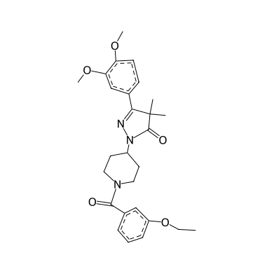 CCOc1cccc(C(=O)N2CCC(N3N=C(c4ccc(OC)c(OC)c4)C(C)(C)C3=O)CC2)c1